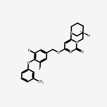 O=c1nc(OCc2cc(F)c(Oc3cccc(C(F)(F)F)c3)c(F)c2)cc2n1C[C@H]1CCCN2C1